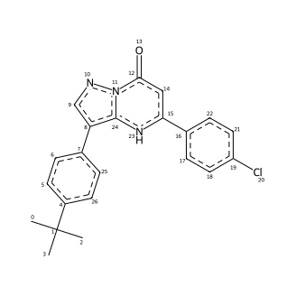 CC(C)(C)c1ccc(-c2cnn3c(=O)cc(-c4ccc(Cl)cc4)[nH]c23)cc1